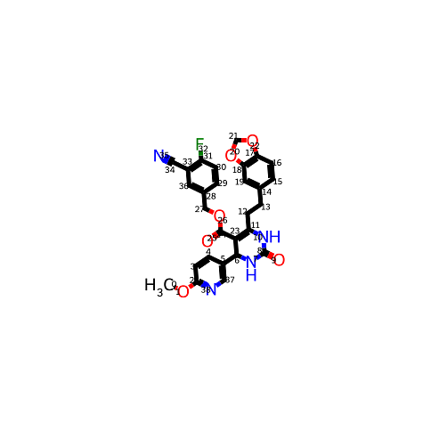 COc1ccc(C2NC(=O)NC(CCc3ccc4c(c3)OCO4)=C2C(=O)OCc2ccc(F)c(C#N)c2)cn1